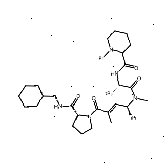 C/C(=C\[C@H](C(C)C)N(C)C(=O)[C@@H](NC(=O)C1CCCCN1C(C)C)C(C)(C)C)C(=O)N1CCC[C@H]1C(=O)NCC1CCCCC1